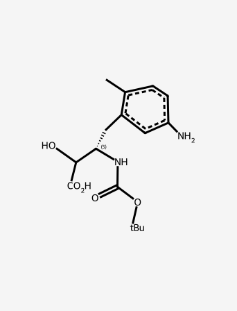 Cc1ccc(N)cc1C[C@H](NC(=O)OC(C)(C)C)C(O)C(=O)O